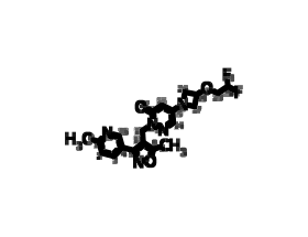 Cc1ccc(-c2noc(C)c2Cn2ncc(N3CC(OCC(F)F)C3)cc2=O)cn1